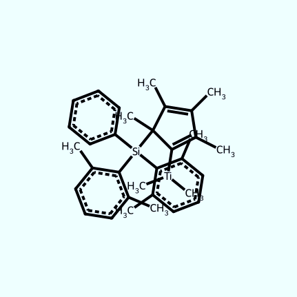 CC1=C(C)C(C)([Si](c2ccccc2)(c2c(C)cccc2C)c2c(C)cccc2C)[C]([Ti]([CH3])[CH3])=C1C